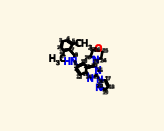 Cc1cccc(C)c1CNc1ccc2nc(-n3cccn3)nc(N3CCOCC3)c2c1